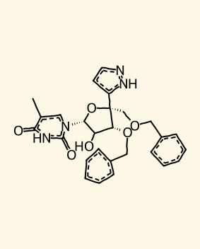 Cc1cn([C@@H]2O[C@@](COCc3ccccc3)(c3ccn[nH]3)[C@H](OCc3ccccc3)C2O)c(=O)[nH]c1=O